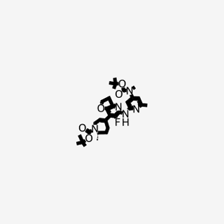 Cc1cc(N(C)C(=O)OC(C)(C)C)cc(Nc2nc3c(c(C4=CCN(C(=O)OC(C)(C)C)[C@@H](C)CC4)c2F)OCC3)n1